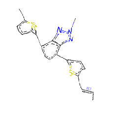 C/C=C/c1ccc(-c2ccc(-c3ccc(C)s3)c3nn(C)nc23)s1